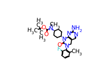 Cc1cccc(F)c1N1Cc2cnc(N)nc2N([C@H]2CC[C@H](N(C)C(=O)OC(C)(C)C)CC2)C1=O